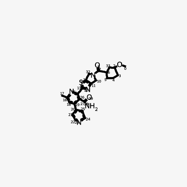 COC1CCCC(C(=O)N2Cc3nc(-c4nc(C)cc(-c5ccncc5)c4C(N)=O)sc3C2)C1